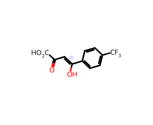 O=C(O)C(=O)/C=C(\O)c1ccc(C(F)(F)F)cc1